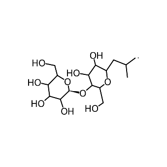 [CH2]C(C)CC1OC(CO)C(O[C@@H]2OC(CO)C(O)C(O)C2O)C(O)C1O